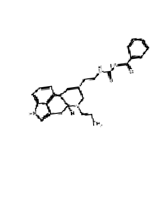 CCCN1C[C@H](CCNC(=O)NC(=O)c2ccccc2)CC2c3cccc4[nH]cc(c34)C[C@H]21